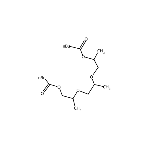 CCCCC(=O)OCC(C)OCC(C)OCC(C)OC(=O)CCCC